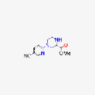 COC(=O)C1CN(c2ccc(C#N)cn2)CCN1